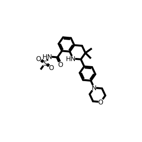 CC1(C)Cc2cccc(C(=O)NS(C)(=O)=O)c2NC1c1ccc(N2CCOCC2)cc1